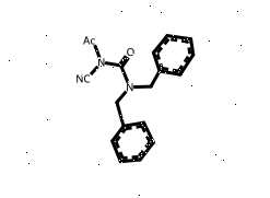 CC(=O)N(C#N)C(=O)N(Cc1ccccc1)Cc1ccccc1